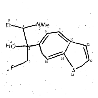 CCC(NC)C(O)(CF)c1ccc2ccsc2c1